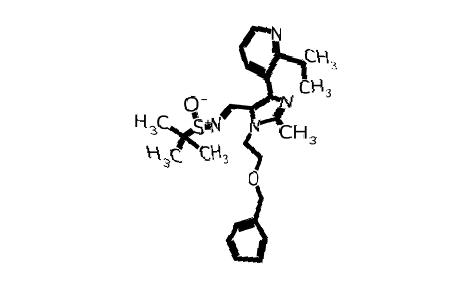 Cc1nc(-c2cccnc2C(C)C)c(/C=N/[S+]([O-])C(C)(C)C)n1CCOCc1ccccc1